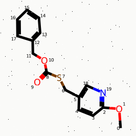 COc1ccc(CSC(=O)OCc2ccccc2)cn1